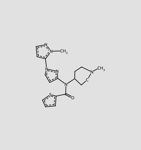 CN1CCC(N(C(=O)c2cccs2)c2ccn(-c3ccnn3C)n2)CC1